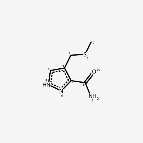 CSCc1c[nH]nc1C(N)=O